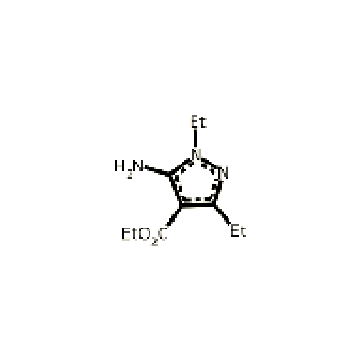 CCOC(=O)c1c(CC)nn(CC)c1N